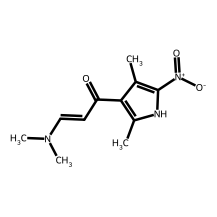 Cc1[nH]c([N+](=O)[O-])c(C)c1C(=O)C=CN(C)C